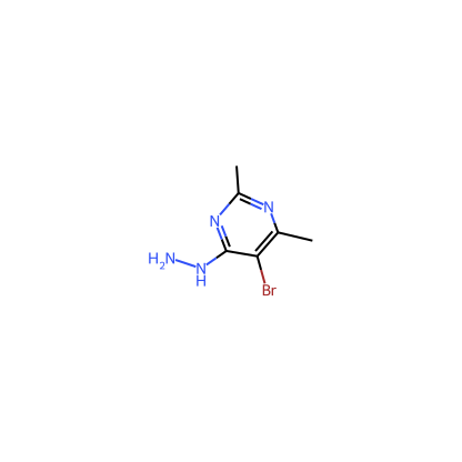 Cc1nc(C)c(Br)c(NN)n1